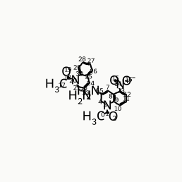 CC(=O)N1CC(N)=Cc2c1cccc2[N+](=O)[O-].CC(=O)N1CC(N)=Cc2ccccc21